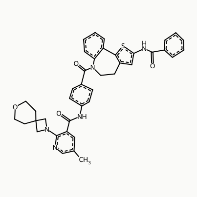 Cc1cnc(N2CC3(CCOCC3)C2)c(C(=O)Nc2ccc(C(=O)N3CCc4cc(NC(=O)c5ccccc5)sc4-c4ccccc43)cc2)c1